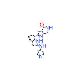 O=C1NCCc2[nH]c(-c3cccc4ccc(Nc5ccncc5)nc34)cc21